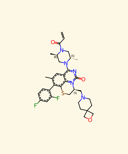 C=CC(=O)N1C[C@H](C)N(c2nc(=O)n3c4c(c(-c5ccc(F)cc5F)c(C)cc24)SC[C@@H]3CN2CCC3(CC2)COC3)C[C@H]1C